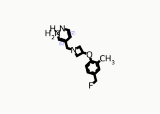 Cc1cc(CF)ccc1OC1CN(CC(/C=C\N)=C/N)C1